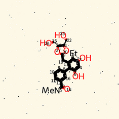 CCc1c(O)cc(O)c(-c2cccc(C(=O)NC)c2)c1CC1O[C@H](CO)[C@@H](CO)O1